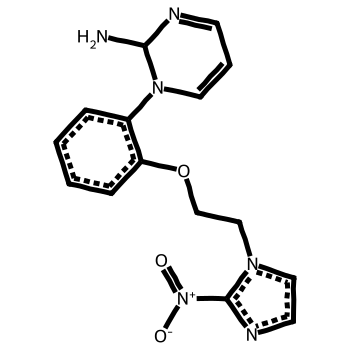 NC1N=CC=CN1c1ccccc1OCCn1ccnc1[N+](=O)[O-]